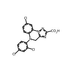 O=C(O)c1nc2n(n1)-c1cc(Cl)ccc1N(c1ccc(Cl)cc1Cl)C2